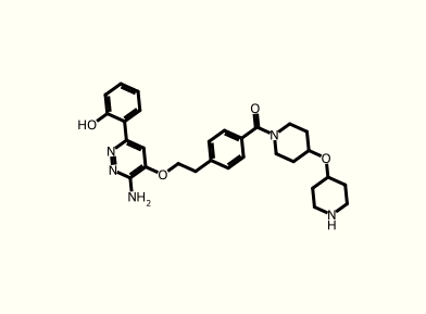 Nc1nnc(-c2ccccc2O)cc1OCCc1ccc(C(=O)N2CCC(OC3CCNCC3)CC2)cc1